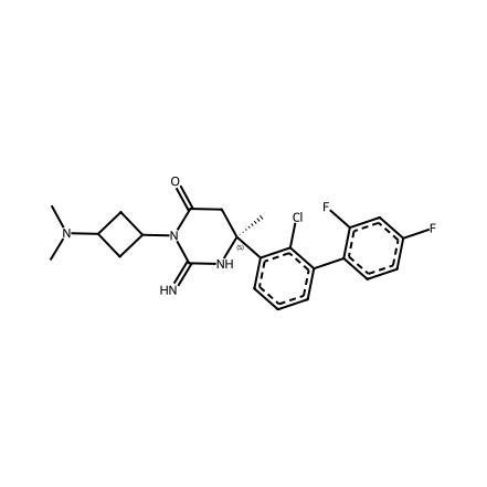 CN(C)C1CC(N2C(=N)N[C@](C)(c3cccc(-c4ccc(F)cc4F)c3Cl)CC2=O)C1